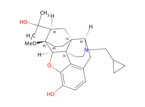 CC(C)(O)[C@H]1C[C@@]23CC[C@]1(O[11CH3])[C@@H]1Oc4c(O)ccc5c4[C@@]12CCN(CC1CC1)[C@@H]3C5